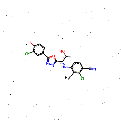 Cc1c(N[C@@H](c2nnc(-c3ccc(O)c(Cl)c3)o2)[C@@H](O)I)ccc(C#N)c1Cl